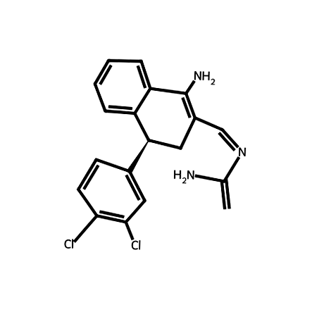 C=C(N)/N=C\C1=C(N)c2ccccc2[C@H](c2ccc(Cl)c(Cl)c2)C1